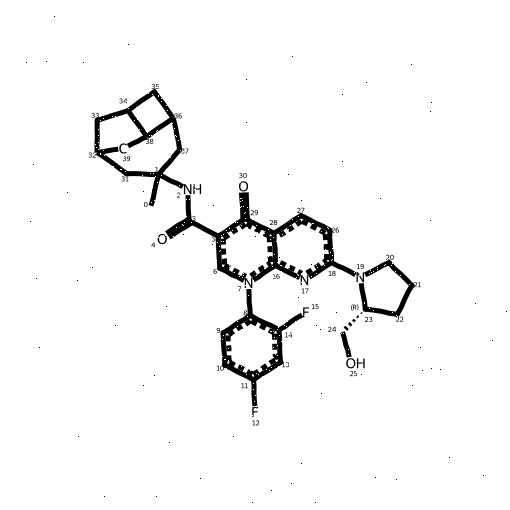 CC1(NC(=O)c2cn(-c3ccc(F)cc3F)c3nc(N4CCC[C@@H]4CO)ccc3c2=O)CC2CC3CC(C1)C3C2